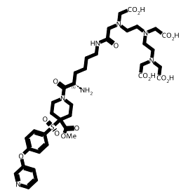 COC(=O)C1(S(=O)(=O)c2ccc(Oc3cccnc3)cc2)CCN(C(=O)[C@@H](N)CCCCNC(=O)CN(CCN(CCN(CC(=O)O)CC(=O)O)CC(=O)O)CC(=O)O)CC1